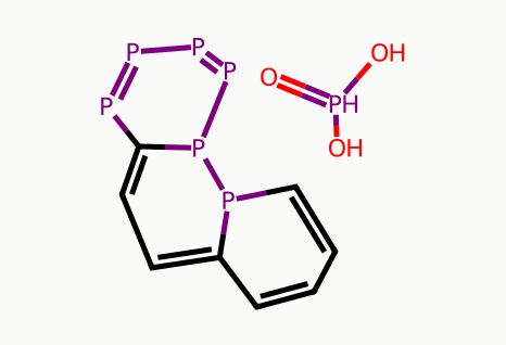 C1=CC2=CC=C3P=PP=PP3P2C=C1.O=[PH](O)O